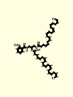 CC/C=C\C/C=C\C/C=C\C/C=C\C/C=C\C/C=C\CCC(=O)OCC(CNC(=O)c1ccccc1OC(C)=O)OC(O)CC/C=C\C/C=C\C/C=C\C/C=C\C/C=C\C/C=C\CC